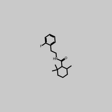 CC1CCCC(C)(C)C1C(=O)NCCc1ccccc1F